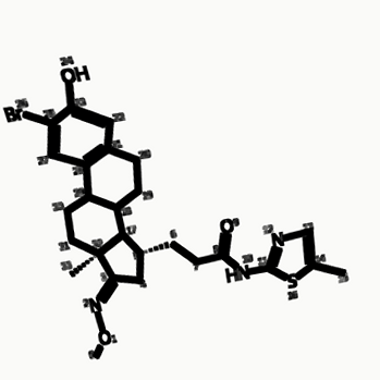 CO/N=C1\C[C@@H](CCC(=O)Nc2ncc(C)s2)C2C3CCc4cc(O)c(Br)cc4C3CC[C@]12C